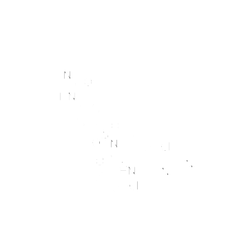 CCN(CC)C(=O)Nc1ccc(S(=O)(=O)N2C(=O)C(NCCN3CCN(C)CC3)(c3ccccc3Cl)c3cc(Cl)ccc32)cc1